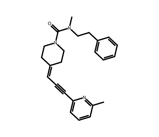 Cc1cccc(C#CC=C2CCN(C(=O)N(C)CCc3ccccc3)CC2)n1